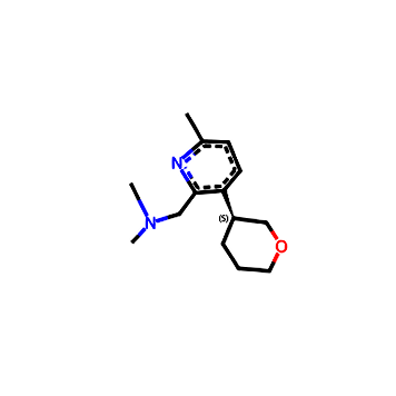 Cc1ccc([C@@H]2CCCOC2)c(CN(C)C)n1